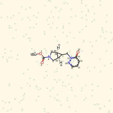 CC(C)(C)OC(=O)N1C[C@@H]2C(Cn3ncccc3=O)[C@@H]2C1